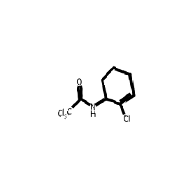 O=C(NC1CCCC=C1Cl)C(Cl)(Cl)Cl